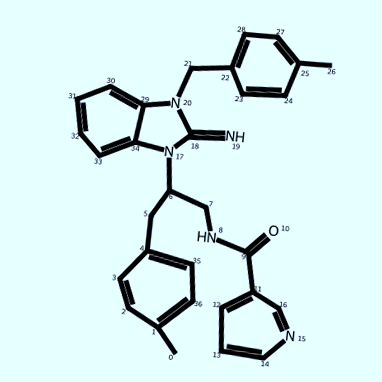 Cc1ccc(CC(CNC(=O)c2cccnc2)n2c(=N)n(Cc3ccc(C)cc3)c3ccccc32)cc1